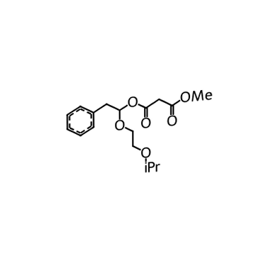 COC(=O)CC(=O)OC(Cc1ccccc1)OCCOC(C)C